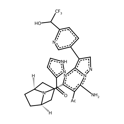 CC(=O)c1c([C@@H]2C[C@H]3CC[C@@H](C2)N3C(=O)c2cc[nH]n2)nc2c(-c3ccc(C(O)C(F)(F)F)nc3)cnn2c1N